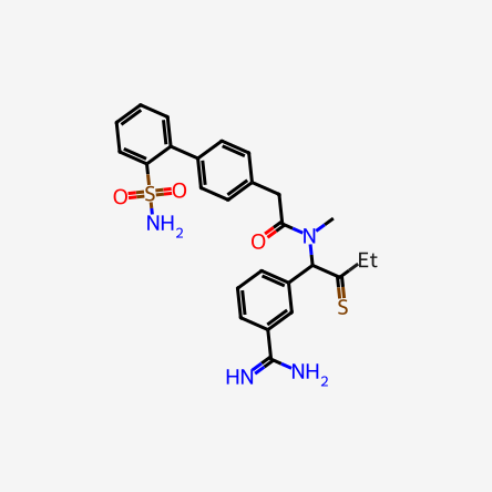 CCC(=S)C(c1cccc(C(=N)N)c1)N(C)C(=O)Cc1ccc(-c2ccccc2S(N)(=O)=O)cc1